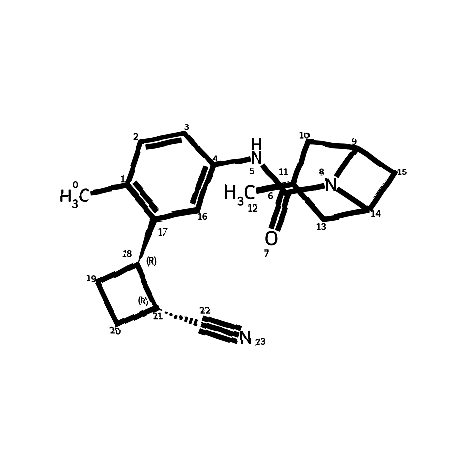 Cc1ccc(NC(=O)N2C3CC(C)CC2C3)cc1[C@@H]1CC[C@H]1C#N